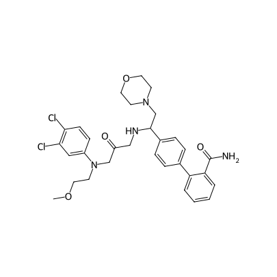 COCCN(CC(=O)CNC(CN1CCOCC1)c1ccc(-c2ccccc2C(N)=O)cc1)c1ccc(Cl)c(Cl)c1